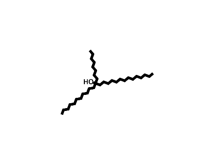 CCCCCCCCCCCCCCC(O)(CCCCCCCC)CCCCCCCCCCC